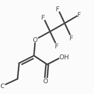 CC/C=C(/OC(F)(F)C(F)(F)F)C(=O)O